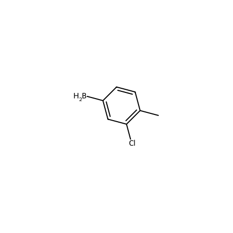 Bc1ccc(C)c(Cl)c1